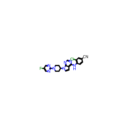 N#Cc1ccc(Nc2ncnc3c2ccn3C2CCN(c3ncc(F)cn3)CC2)c(Cl)c1